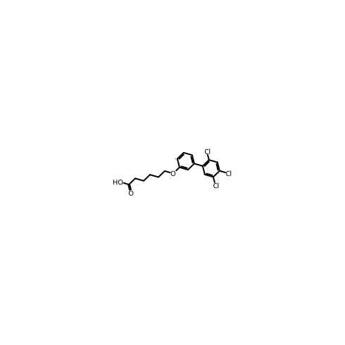 O=C(O)CCCCCOc1[c]ccc(-c2cc(Cl)c(Cl)cc2Cl)c1